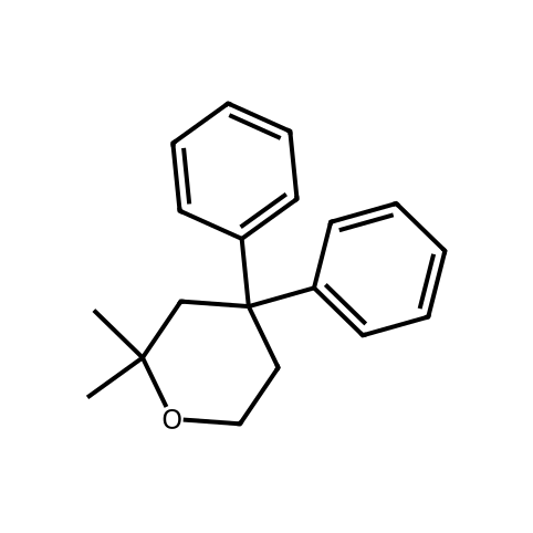 CC1(C)CC(c2ccccc2)(c2ccccc2)CCO1